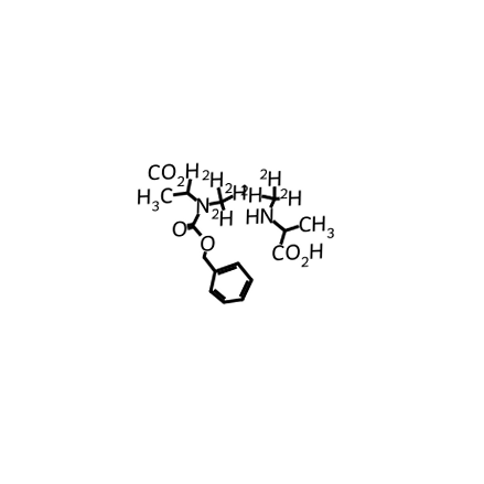 [2H]C([2H])([2H])N(C(=O)OCc1ccccc1)C(C)C(=O)O.[2H]C([2H])([2H])NC(C)C(=O)O